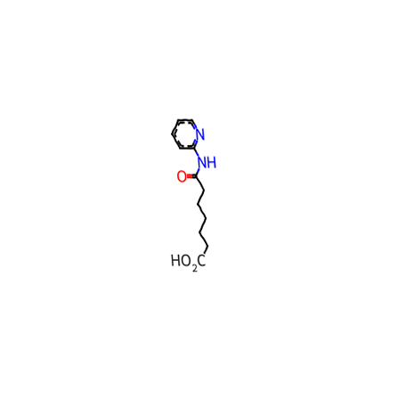 O=C(O)CCCCCC(=O)Nc1ccccn1